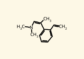 C=Cc1ccccc1/C(C)=C\N(C)C